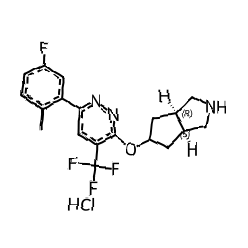 Cc1ccc(F)cc1-c1cc(C(F)(F)F)c(OC2C[C@H]3CNC[C@H]3C2)nn1.Cl